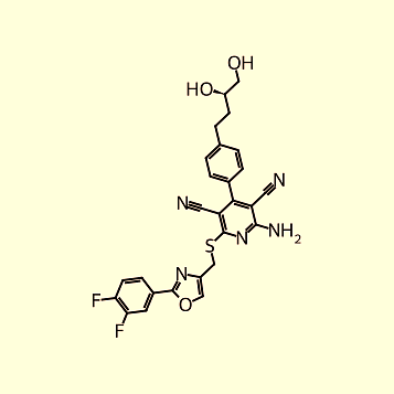 N#Cc1c(N)nc(SCc2coc(-c3ccc(F)c(F)c3)n2)c(C#N)c1-c1ccc(CC[C@@H](O)CO)cc1